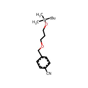 CC(C)(C)[Si](C)(C)OCCCOCc1ccc(C#N)cc1